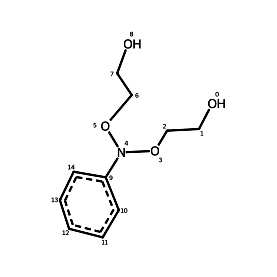 OCCON(OCCO)c1ccccc1